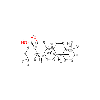 CC1(C)CC[C@]2(CO)C(O)C[C@]3(C)C(=CC[C@@H]4[C@@]5(C)CCCC(C)(C)[C@@H]5CC[C@]43C)[C@@H]2C1